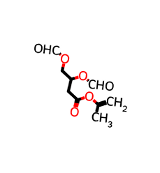 C=C(C)OC(=O)CC(COC=O)OC=O